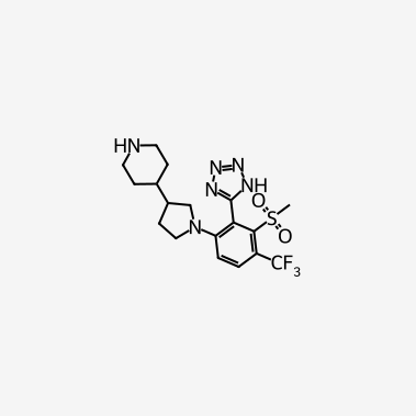 CS(=O)(=O)c1c(C(F)(F)F)ccc(N2CCC(C3CCNCC3)C2)c1-c1nnn[nH]1